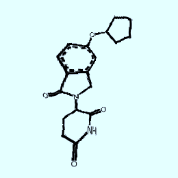 O=C1CCC(N2Cc3cc(O[C@H]4[CH]CCC4)ccc3C2=O)C(=O)N1